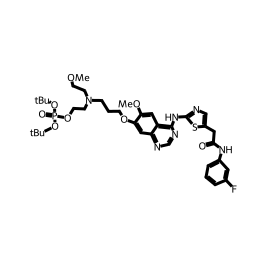 COCCN(CCCOc1cc2ncnc(Nc3ncc(CC(=O)Nc4cccc(F)c4)s3)c2cc1OC)CCOP(=O)(OC(C)(C)C)OC(C)(C)C